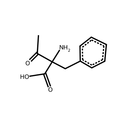 CC(=O)C(N)(Cc1ccccc1)C(=O)O